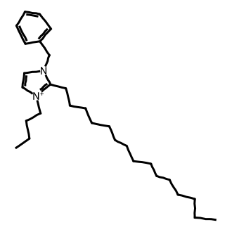 CCCCCCCCCCCCCCCc1n(Cc2ccccc2)cc[n+]1CCCC